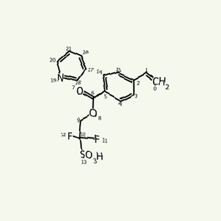 C=Cc1ccc(C(=O)OCC(F)(F)S(=O)(=O)O)cc1.c1ccncc1